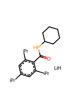 CC(C)c1cc(C(C)C)c(C(=O)PC2CCCCC2)c(C(C)C)c1.[LiH]